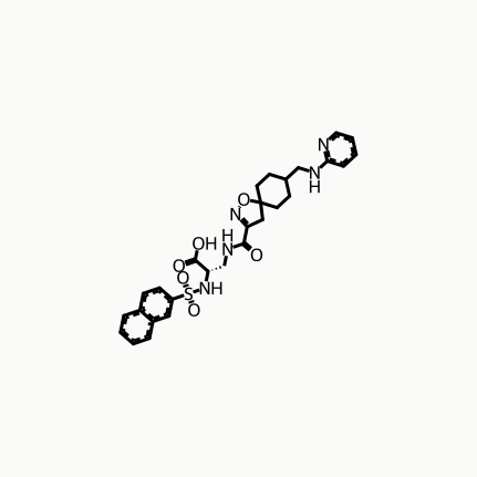 O=C(NC[C@H](NS(=O)(=O)c1ccc2ccccc2c1)C(=O)O)C1=NOC2(CCC(CNc3ccccn3)CC2)C1